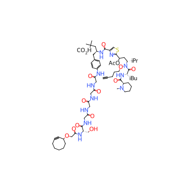 C#CCCCON(C(=O)[C@@H](NC(=O)[C@H]1CCCCN1C)[C@@H](C)CC)[C@H](C[C@@H](OC(C)=O)c1nc(C(=O)N[C@@H](Cc2ccc(NC(=O)CNC(=O)CNC(=O)CNC(=O)CNC(=O)[C@H](CO)NC(=O)COC3C#CCCCCC3)cc2)CC(C)(C)C(=O)O)cs1)C(C)C